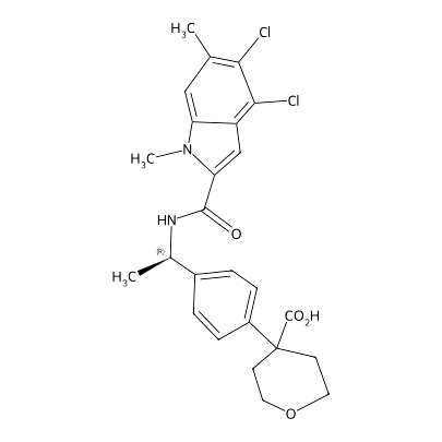 Cc1cc2c(cc(C(=O)N[C@H](C)c3ccc(C4(C(=O)O)CCOCC4)cc3)n2C)c(Cl)c1Cl